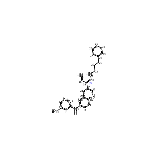 CC(C)c1cnnc(Nc2ccc3ncc(/C(C=N)=C/NCCCc4ccccc4)cc3n2)c1